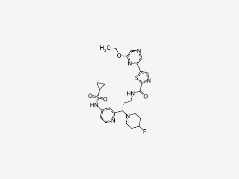 CCOc1cncc(-c2cnc(C(=O)NCC[C@@H](c3cc(NS(=O)(=O)C4CC4)ccn3)N3CCC(F)CC3)s2)n1